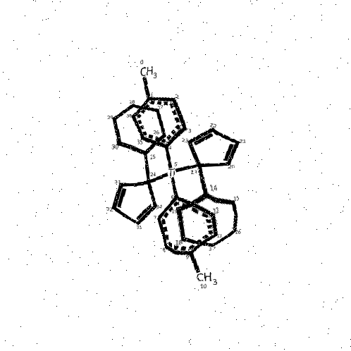 Cc1cc[c]([Ti]([c]2ccc(C)cc2)([C]2(C3CCCCC3)C=CC=C2)[C]2(C3CCCCC3)C=CC=C2)cc1